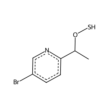 CC(OS)c1ccc(Br)cn1